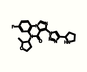 CC1OCCC1n1c(=O)c2c(-n3cc(C4CCCN4)nn3)ncn2c2ccc(F)cc21